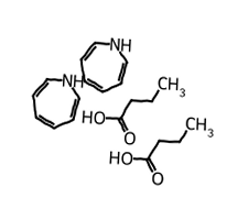 C1=CC=CNC=C1.C1=CC=CNC=C1.CCCC(=O)O.CCCC(=O)O